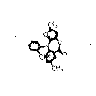 COc1ccccc1N1c2ccc(C)cc2C(=O)Oc2cc(C)oc21